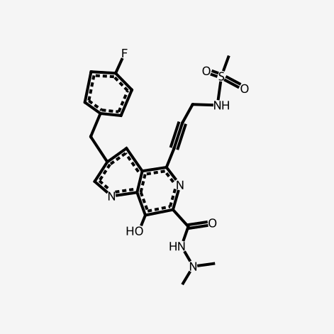 CN(C)NC(=O)c1nc(C#CCNS(C)(=O)=O)c2cc(Cc3ccc(F)cc3)cnc2c1O